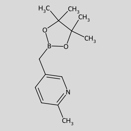 Cc1ccc(CB2OC(C)(C)C(C)(C)O2)cn1